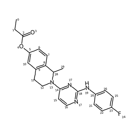 CCC(=O)Oc1ccc2c(c1)CCN(c1ccnc(Nc3ccc(F)cc3)n1)C2C